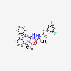 C[C@H](NC(=O)Cc1cc(F)cc(F)c1)C(=O)NC1N=C(C2CCCCC2)c2ccccc2N(C)C1=O